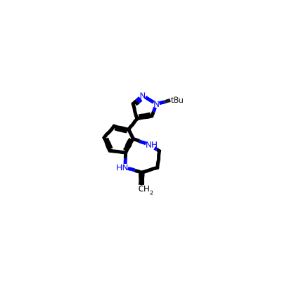 C=C1CCNc2c(cccc2-c2cnn(C(C)(C)C)c2)N1